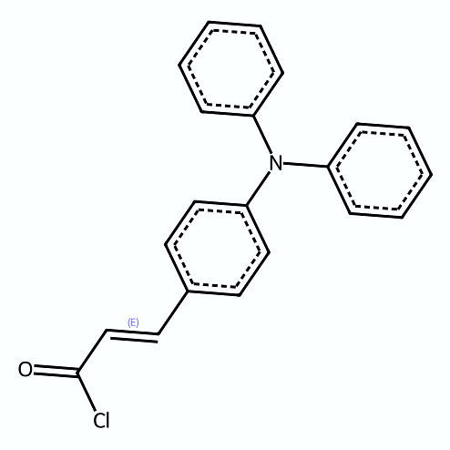 O=C(Cl)/C=C/c1ccc(N(c2ccccc2)c2ccccc2)cc1